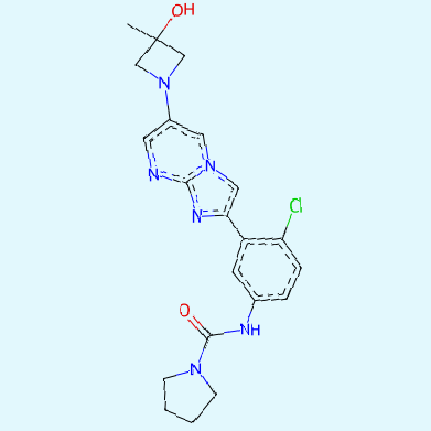 CC1(O)CN(c2cnc3nc(-c4cc(NC(=O)N5CCCC5)ccc4Cl)cn3c2)C1